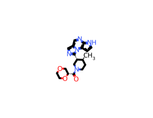 C[C@@H]1CCN(C(=O)[C@H]2COCCO2)C[C@@H]1c1ncc2cnc3[nH]ccc3n12